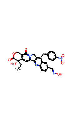 CC[C@@]1(O)C(=O)OCc2c1cc1n(c2=O)Cc2c-1nc1ccc(C=NO)cc1c2Cc1ccc([N+](=O)[O-])cc1